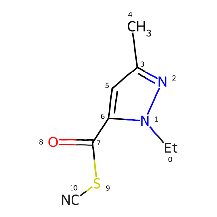 CCn1nc(C)cc1C(=O)SC#N